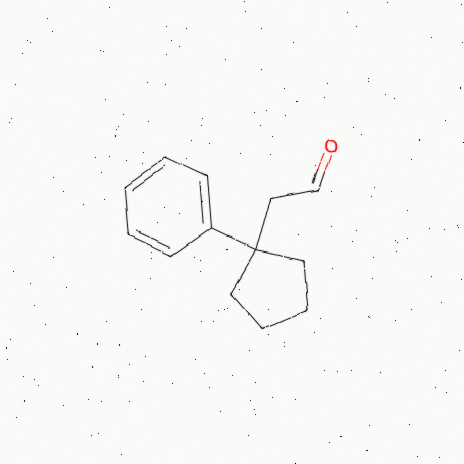 O=CCC1(c2ccccc2)CCCC1